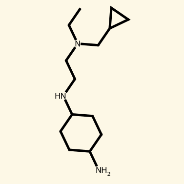 CCN(CCNC1CCC(N)CC1)CC1CC1